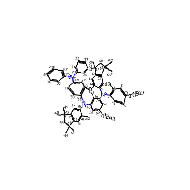 Cc1cc(C(C)(C)C)ccc1N1c2cc3c(cc2B2c4cc(N(c5ccccc5)c5ccccc5)ccc4N(c4cc5c(cc4C)C(C)(C)CC5(C)C)c4cc(C(C)(C)C)cc1c42)C(C)(C)CC3(C)C